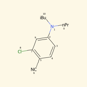 CCCN(c1ccc(C#N)c(Cl)c1)C(C)CC